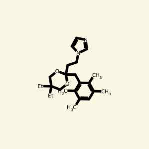 CCC1(CC)COC(CCn2ccnc2)(Cc2c(C)c(C)cc(C)c2C)OC1